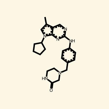 Cc1cn(C2CCCC2)c2nc(Nc3ccc(CN4CCNC(=O)C4)cc3)ncc12